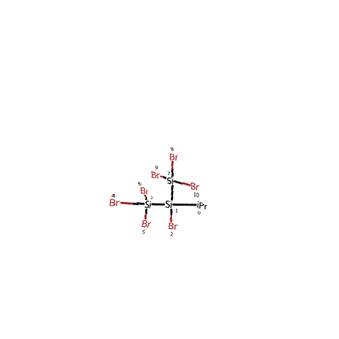 CC(C)[Si](Br)([Si](Br)(Br)Br)[Si](Br)(Br)Br